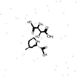 C[C@H]1CCN[C@H](C(=O)O)C1.O=C(O)C(O)C(O)C(=O)O